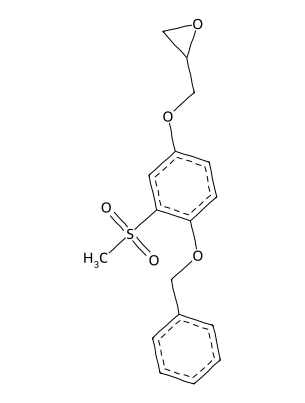 CS(=O)(=O)c1cc(OCC2CO2)ccc1OCc1ccccc1